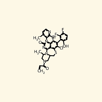 C=CC(=O)N1CC(C)N2c3nc(=O)n(-c4c(C)ccnc4C(C)C)c4c(F)c(-c5c(O)ccc(F)c5F)c(Cl)c(c34)SCC2C1